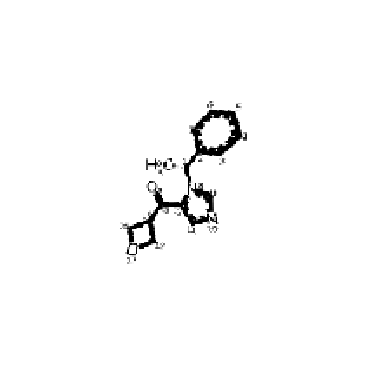 C[C@H](c1ccccc1)n1cncc1C(=O)C1COC1